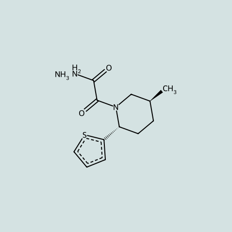 C[C@H]1CC[C@H](c2cccs2)N(C(=O)C(N)=O)C1.N